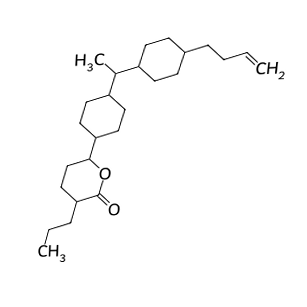 C=CCCC1CCC(C(C)C2CCC(C3CCC(CCC)C(=O)O3)CC2)CC1